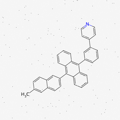 Cc1ccc2cc(-c3c4ccccc4c(-c4cccc(-c5ccncc5)c4)c4ccccc34)ccc2c1